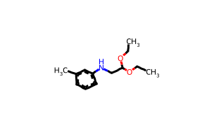 CCOC(CNc1cccc(C)c1)OCC